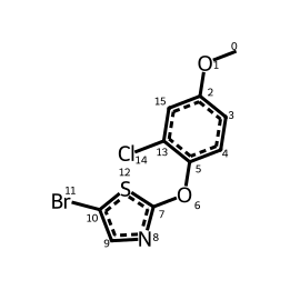 COc1ccc(Oc2ncc(Br)s2)c(Cl)c1